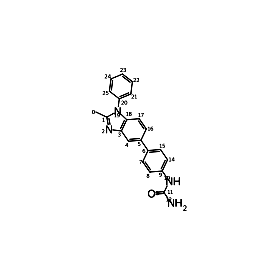 Cc1nc2cc(-c3ccc(NC(N)=O)cc3)ccc2n1-c1ccccc1